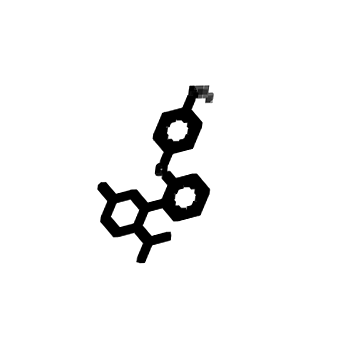 CC1CCC(C(C)C)C(c2ccccc2Oc2ccc(N)cc2)C1